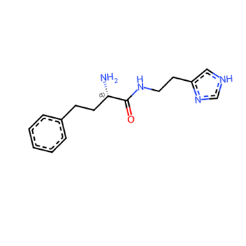 N[C@@H](CCc1ccccc1)C(=O)NCCc1c[nH]cn1